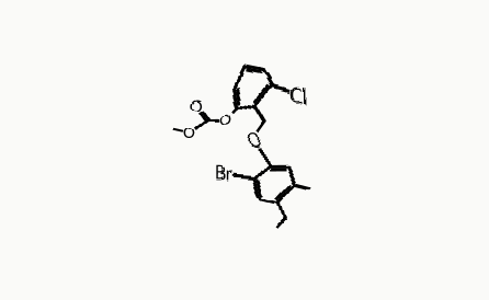 CCc1cc(Br)c(OCc2c(Cl)cccc2OC(=O)OC)cc1C